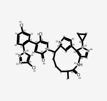 CC1CCCC(n2cc(Cl)c(-c3cc(Cl)ccc3-n3cc(Cl)nn3)cc2=O)c2cc(ccn2)-c2c(cnn2C2CC2)NC1=O